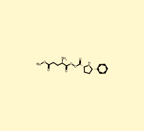 CC(C)(C)OC(=O)CC[C@@H](N)C(=O)OOC(=O)[C@H]1CC[C@@H](c2ccccc2)N1